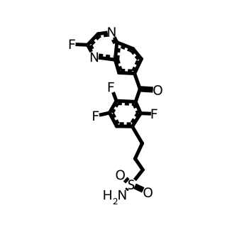 NS(=O)(=O)CCCc1cc(F)c(F)c(C(=O)c2ccc3ncc(F)nc3c2)c1F